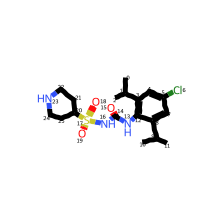 CC(C)c1cc(Cl)cc(C(C)C)c1NC(=O)NS(=O)(=O)C1CCNCC1